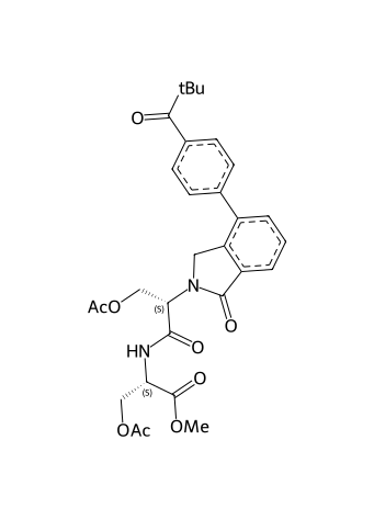 COC(=O)[C@H](COC(C)=O)NC(=O)[C@H](COC(C)=O)N1Cc2c(cccc2-c2ccc(C(=O)C(C)(C)C)cc2)C1=O